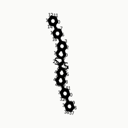 C1=c2ccc(-c3ccc(-c4ccccc4)cc3)cc2=CC2Sc3c(sc4cc5cc(-c6ccc(-c7ccccc7)cc6)ccc5cc34)C12